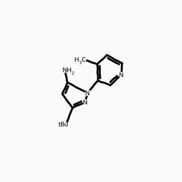 Cc1ccncc1-n1nc(C(C)(C)C)cc1N